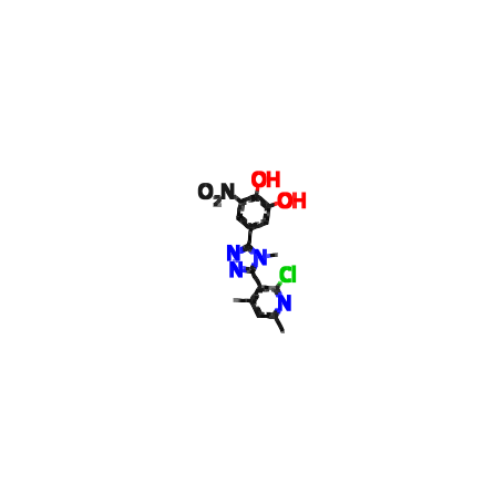 Cc1cc(C)c(-c2nnc(-c3cc(O)c(O)c([N+](=O)[O-])c3)n2C)c(Cl)n1